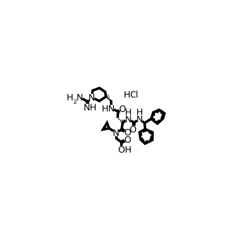 Cl.N=C(N)N1CCC[C@@H](CNC(=O)C[C@H](NC(=O)NC(c2ccccc2)c2ccccc2)C(=O)N(CC(=O)O)C2CC2)C1